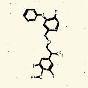 CCOc1c(F)cc(C(COCc2ccc(F)c(Oc3ccccc3)c2)C(F)(F)F)cc1F